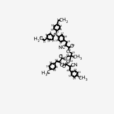 C=Cc1ccc(N(c2ccc(C=C)cc2)c2ccc(/C=C(\C#N)C(=O)OCC(C)(COC(=O)/C(C#N)=C/c3ccc(C)cc3)COC(=O)/C(C#N)=C/c3ccc(C)cc3)cc2)cc1